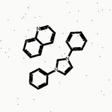 C1=CN(c2ccccc2)CN1c1ccccc1.c1ccc2ncccc2c1